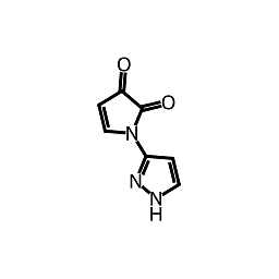 O=C1C=CN(c2cc[nH]n2)C1=O